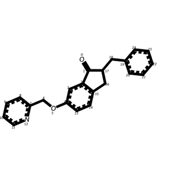 O=C1c2cc(OCc3ccccn3)ccc2CC1Cc1ccccc1